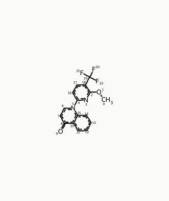 COc1nc(-n2ccc(=O)c3ccccc32)ccc1C(F)(F)F